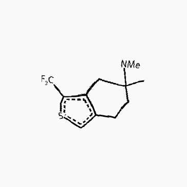 CNC1(C)CCc2csc(C(F)(F)F)c2C1